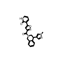 Cn1cc(C2CN(C(=O)c3cc(-c4ccc[nH]c4=O)on3)Cc3ccccc32)cn1